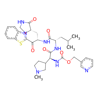 CC(C)C[C@H](NC(=O)[C@@H](NC(=O)OCc1cccnc1)C1CCN(C)C1)C(=O)N[C@@H](C[C@@H]1CCNC1=O)C(=O)c1nc2ccccc2s1